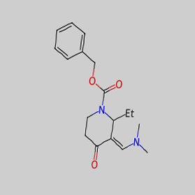 CCC1/C(=C\N(C)C)C(=O)CCN1C(=O)OCc1ccccc1